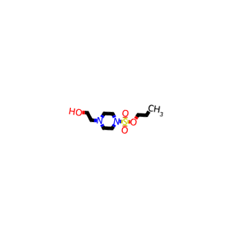 CCCOS(=O)(=O)N1CCN(CCO)CC1